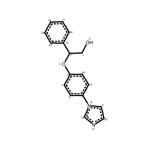 OCC(Oc1ccc(-n2ccnc2)cc1)c1ccccc1